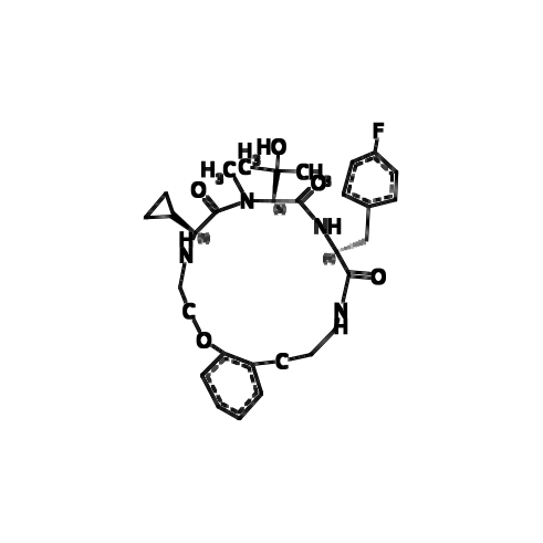 CN1C(=O)[C@H](C2CC2)NCCOc2ccccc2CCCNC(=O)[C@@H](Cc2ccc(F)cc2)NC(=O)[C@@H]1C(C)(C)O